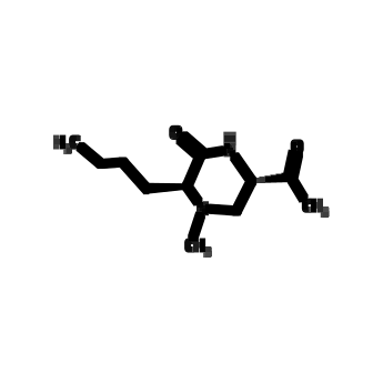 CCCC[C@H]1C(=O)N[C@H](C(C)=O)CN1C